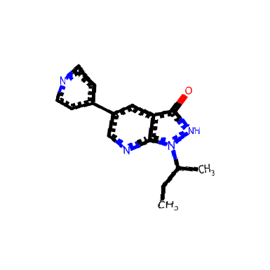 CCC(C)n1[nH]c(=O)c2cc(-c3ccncc3)cnc21